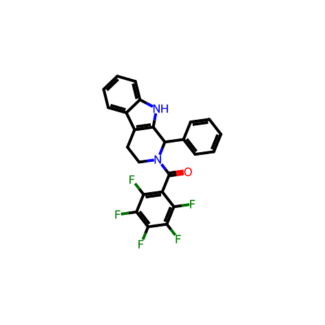 O=C(c1c(F)c(F)c(F)c(F)c1F)N1CCc2c([nH]c3ccccc23)C1c1ccccc1